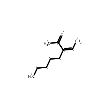 C/C=C(/CCCCC)C(C)=O